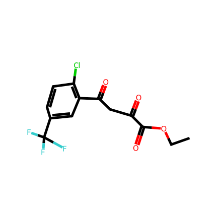 CCOC(=O)C(=O)CC(=O)c1cc(C(F)(F)F)ccc1Cl